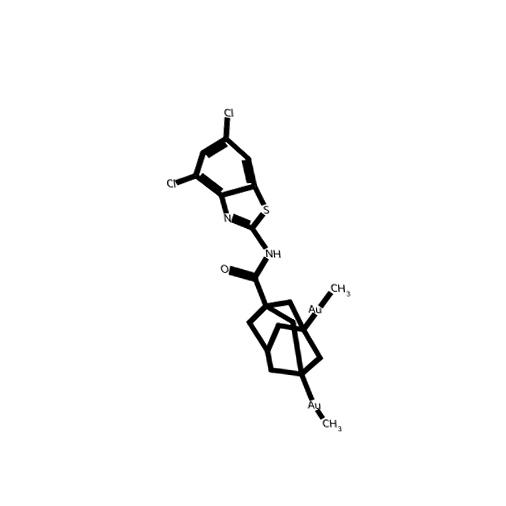 [CH3][Au][C]12CC3C[C]([Au][CH3])(C1)CC(C(=O)Nc1nc4c(Cl)cc(Cl)cc4s1)(C3)C2